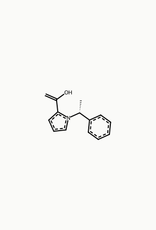 C=C(O)c1cccn1[C@H](C)c1ccccc1